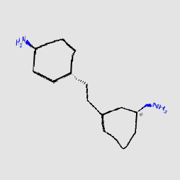 N[C@H]1CCCC(CC[C@H]2CC[C@H](N)CC2)C1